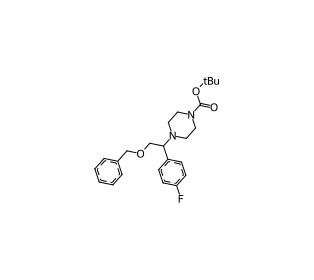 CC(C)(C)OC(=O)N1CCN(C(COCc2ccccc2)c2ccc(F)cc2)CC1